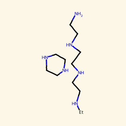 C1CNCCN1.CCNCCNCCNCCN